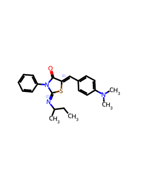 CCC(C)/N=C1\S/C(=C\c2ccc(N(C)C)cc2)C(=O)N1c1ccccc1